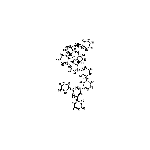 c1ccc(-c2cc(-c3cccc(-c4cccc(-c5ccc6c(c5)C5(c7ccccc7-6)c6ccccc6N6c7c(cccc75)NC6c5ccccc5)c4)c3)nc(-c3ccccc3)n2)cc1